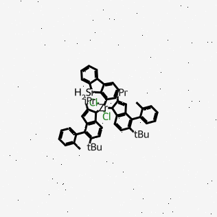 Cc1ccccc1-c1c(C(C)(C)C)ccc2c1C=C(C(C)C)[CH]2[Zr]([Cl])([Cl])([c]1cccc2c1[SiH2]c1ccccc1-2)[CH]1C(C(C)C)=Cc2c1ccc(C(C)(C)C)c2-c1ccccc1C